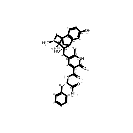 CN1CC23C[C@@]4(Cc5[nH]c(=O)c(C(=O)N[C@@H](Cc6ccccc6)C(N)=O)cc5C[C@@]4(O)[C@H]12)c1cc(O)ccc13